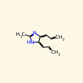 C=C/C=c1/nc(C)[nH]/c1=C/C=C